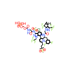 CC(C)(CCc1ccc(-c2ccc(Cl)c3c(N(C(=O)CNC(=O)OCOP(=O)(O)O)S(C)(=O)=O)nn(CC(F)(F)F)c23)c([C@H](Cc2cc(F)cc(F)c2)NC(=O)Cn2nc(C(F)(F)F)c3c2C(F)(F)C2C[C@H]32)n1)S(C)(=O)=O